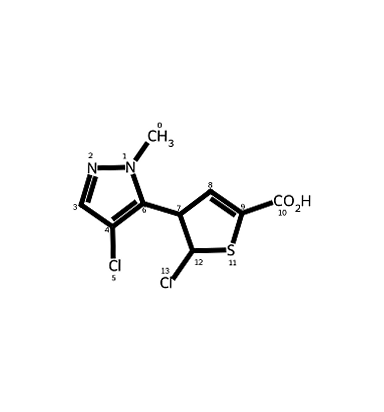 Cn1ncc(Cl)c1C1C=C(C(=O)O)SC1Cl